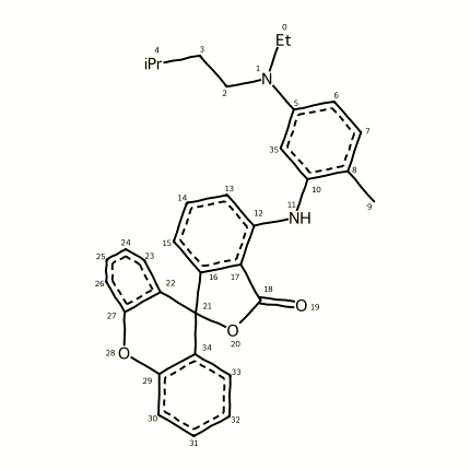 CCN(CCC(C)C)c1ccc(C)c(Nc2cccc3c2C(=O)OC32c3ccccc3Oc3ccccc32)c1